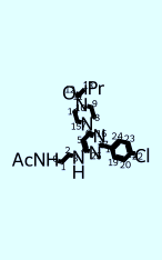 CC(=O)NCCNc1cc(N2CCN(C(=O)C(C)C)CC2)nc(-c2ccc(Cl)cc2)n1